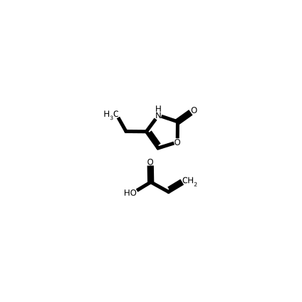 C=CC(=O)O.CCc1coc(=O)[nH]1